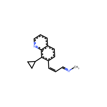 C/N=C/C=C\c1ccc2cccnc2c1C1CC1